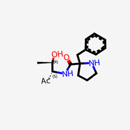 CC(=O)[C@@H](NC(=O)C1(Cc2ccccc2)CCCN1)[C@@H](C)O